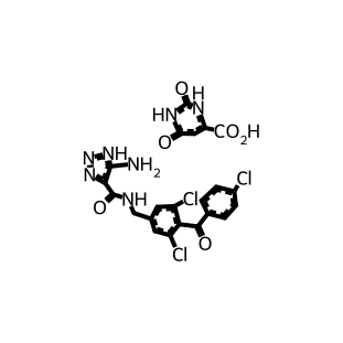 Nc1[nH]nnc1C(=O)NCc1cc(Cl)c(C(=O)c2ccc(Cl)cc2)c(Cl)c1.O=C(O)c1cc(=O)[nH]c(=O)[nH]1